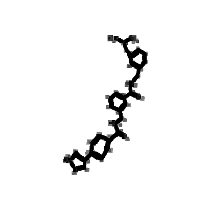 CN(C)Cc1cccc(CNC(=O)c2cccc(CNC(=O)c3ccc(-c4cn[nH]c4)cc3)c2)c1